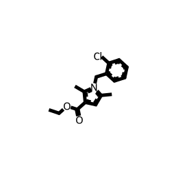 CCOC(=O)c1cc(C)n(Cc2ccccc2Cl)c1C